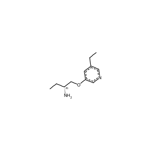 CCc1cncc(OC[C@H](N)CC)c1